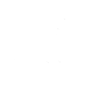 Cc1cc(C)c(B(c2cc(-c3cccc(-c4ccccn4)n3)c3ccc4c(-c5cccc(-c6ccccn6)n5)ccc5c4c3c2CC5)c2c(C)cc(C)cc2C)c(C)c1